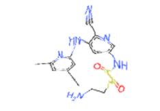 Cc1cc(C)nc(Nc2cc(NS(=O)(=O)CCN)cnc2C#N)c1